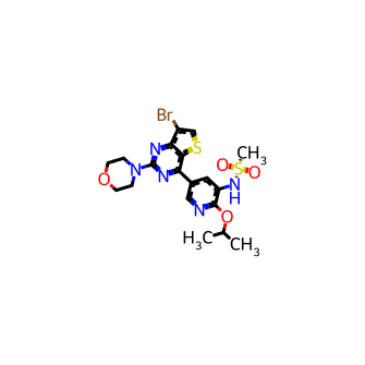 CC(C)Oc1ncc(-c2nc(N3CCOCC3)nc3c(Br)csc23)cc1NS(C)(=O)=O